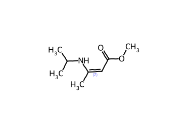 COC(=O)/C=C(/C)NC(C)C